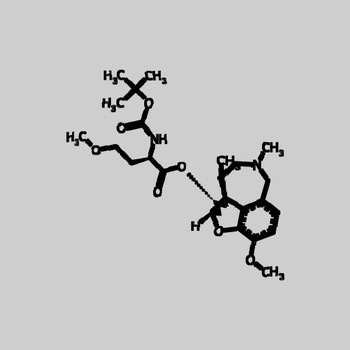 COCC[C@@H](NC(=O)OC(C)(C)C)C(=O)O[C@H]1C[C@@H]2Oc3c(OC)ccc4c3[C@]2(CCN(C)C4)C1C